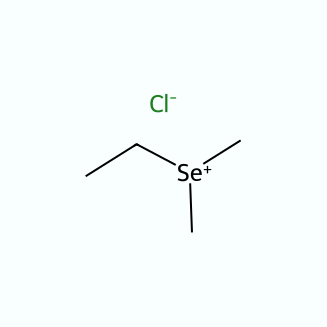 CC[Se+](C)C.[Cl-]